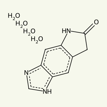 O.O.O.O.O=C1Cc2cc3[nH]cnc3cc2N1